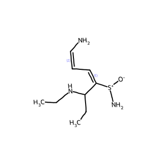 CCNC(CC)/C(=C\C=C/N)[S+](N)[O-]